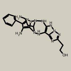 NCCC1N2Nc3c([nH]n4nc(CCO)nc34)NN1n1nc(-c3ccccc3)c(N)c12